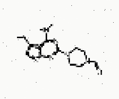 CCc1csc2nc(N3CCN(C=O)CC3)nc(NC)c12